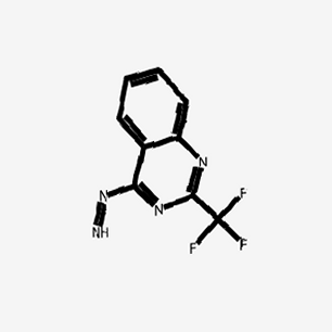 N=Nc1nc(C(F)(F)F)nc2ccccc12